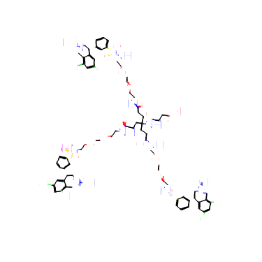 CN1Cc2c(Cl)cc(Cl)cc2[C@H](c2cccc(S(=O)(=O)NCCOCCOCCNC(=O)CCC(CCC(=O)NCCOCCOCCNS(=O)(=O)c3cccc([C@@H]4CN(C)Cc5c(Cl)cc(Cl)cc54)c3)(CCC(=O)NCCOCCOCCNS(=O)(=O)c3cccc([C@@H]4CN(C)Cc5c(Cl)cc(Cl)cc54)c3)NC(=O)CCC(=O)O)c2)C1